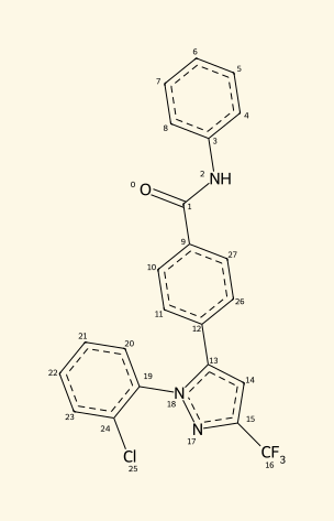 O=C(Nc1ccccc1)c1ccc(-c2cc(C(F)(F)F)nn2-c2ccccc2Cl)cc1